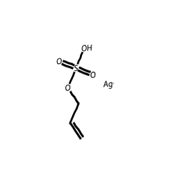 C=CCOS(=O)(=O)O.[Ag]